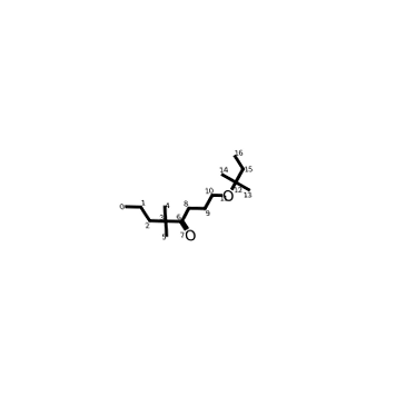 CCCC(C)(C)C(=O)CCCOC(C)(C)CC